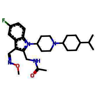 CO/N=C\c1c(CNC(C)=O)n(C2CCN(C3CCC(C(C)C)CC3)CC2)c2ccc(F)cc12